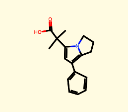 CC(C)(C(=O)O)c1cc(-c2ccccc2)c2n1CCC2